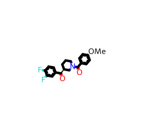 COc1ccc(C(=O)N2CCC[C@H](C(=O)c3ccc(F)c(F)c3)C2)cc1